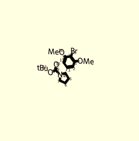 COc1cc([C@@H]2CCCN2C(=O)OC(C)(C)C)cc(OC)c1Br